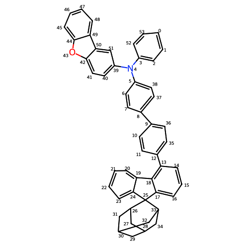 c1ccc(N(c2ccc(-c3ccc(-c4cccc5c4-c4ccccc4C54C5CC6CC(C5)CC4C6)cc3)cc2)c2ccc3oc4ccccc4c3c2)cc1